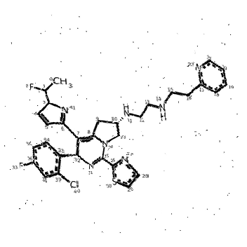 CC(F)C1C=CC(C2=C3C[C@H](NCCNCCc4ccccn4)CN3C(c3nccs3)=N[C@H]2c2ccc(F)cc2Cl)=N1